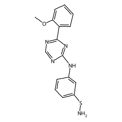 COc1ccccc1-c1ncnc(Nc2cccc(SN)c2)n1